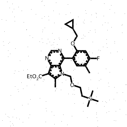 CCOC(=O)c1c(C)n(COCC[Si](C)(C)C)c2c(-c3cc(C)c(F)cc3OCC3CC3)ncnc12